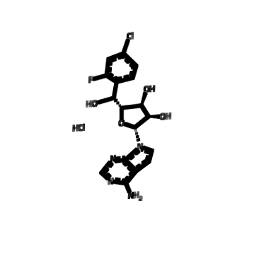 Cl.Nc1ncnc2c1ccn2[C@@H]1O[C@H](C(O)c2ccc(Cl)cc2F)[C@@H](O)[C@H]1O